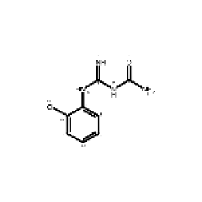 N=C(NC(N)=O)Nc1ccccc1Cl